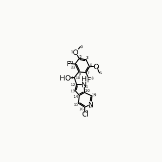 COc1cc(OC)c(F)c(C(O)c2cc3cc(Cl)ncc3[nH]2)c1F